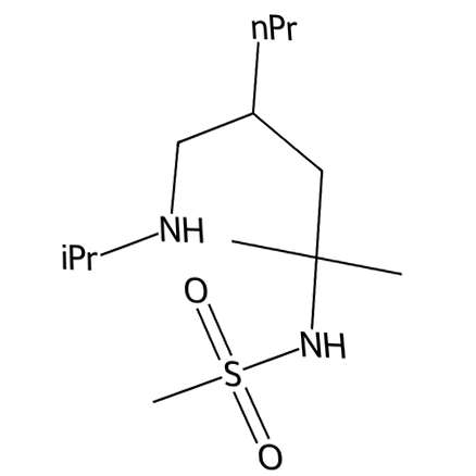 CCCC(CNC(C)C)CC(C)(C)NS(C)(=O)=O